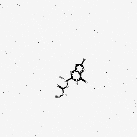 CC(C)[C@@H](OC(=O)NC(C)(C)C)c1nc2cc(Br)sc2c(=O)[nH]1